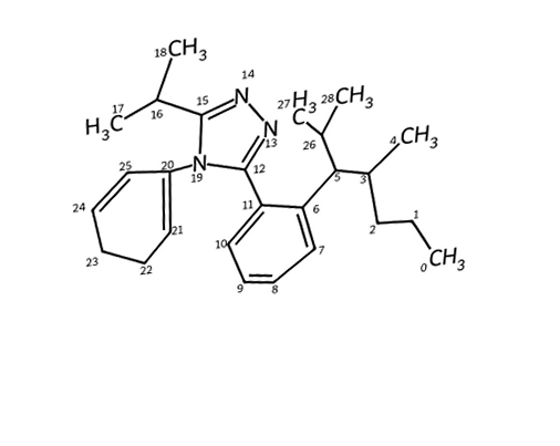 CCCC(C)C(c1ccccc1-c1nnc(C(C)C)n1C1=CCCC=C1)C(C)C